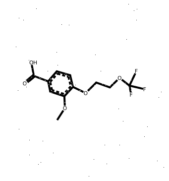 COc1cc(C(=O)O)ccc1OCCOC(F)(F)F